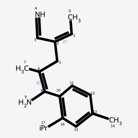 C/C=C(\C=N)C/C(C)=C(/N)c1ccc(C)cc1C(C)C